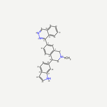 CN1Cc2cc(-c3nncc4ccccc34)ccc2C(c2ccc3cc[nH]c3c2)C1